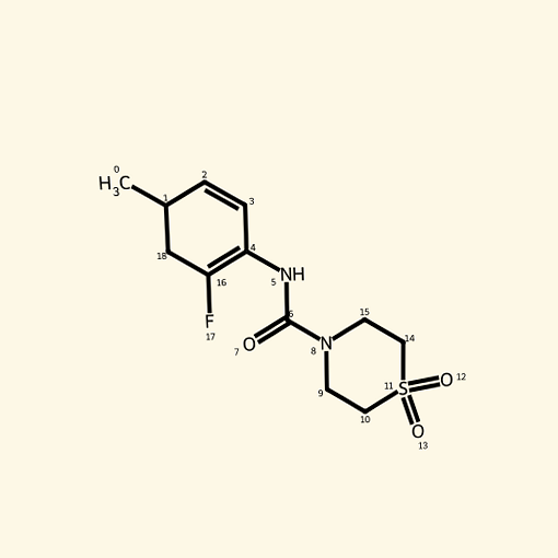 CC1C=CC(NC(=O)N2CCS(=O)(=O)CC2)=C(F)C1